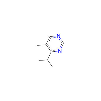 Cc1[c]ncnc1C(C)C